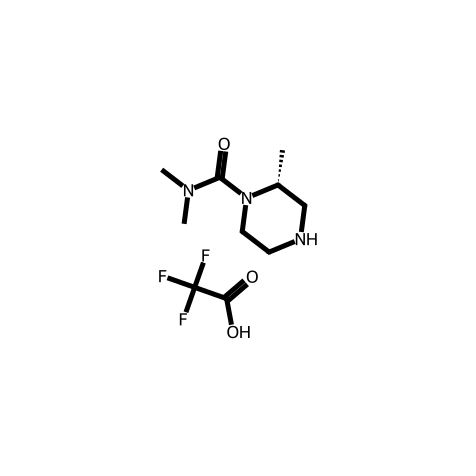 C[C@@H]1CNCCN1C(=O)N(C)C.O=C(O)C(F)(F)F